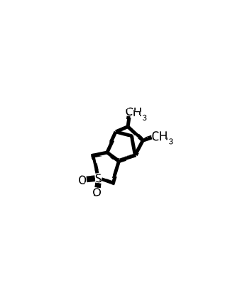 CC1C(C)C2CC1C1CS(=O)(=O)CC21